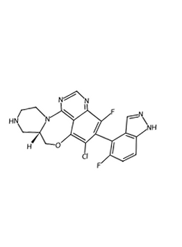 Fc1ccc2[nH]ncc2c1-c1c(Cl)c2c3c(ncnc3c1F)N1CCNC[C@H]1CO2